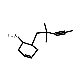 CC#CC(C)(C)CC1CC=CCC1C(=O)O